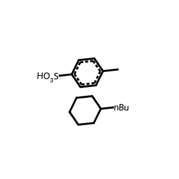 CCCCC1CCCCC1.Cc1ccc(S(=O)(=O)O)cc1